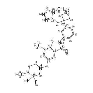 CC1CCN(Cc2cc3c(c(C(F)(F)F)c2)CN(c2cccc(C4(Cc5nncn5C)COC4)c2)C3=O)CC1(F)F